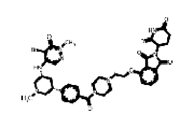 CN1C[C@H](Nc2cnn(C)c(=O)c2Br)C[C@H](c2ccc(C(=O)N3CCN(CCOc4cccc5c4C(=O)N(C4CCC(=O)NC4=O)C5=O)CC3)cc2)C1